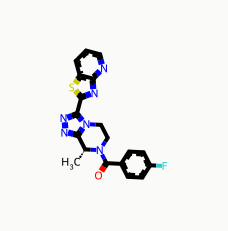 C[C@@H]1c2nnc(-c3nc4ncccc4s3)n2CCN1C(=O)c1ccc(F)cc1